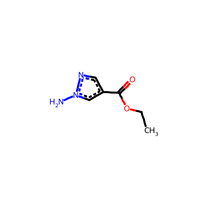 CCOC(=O)c1cnn(N)c1